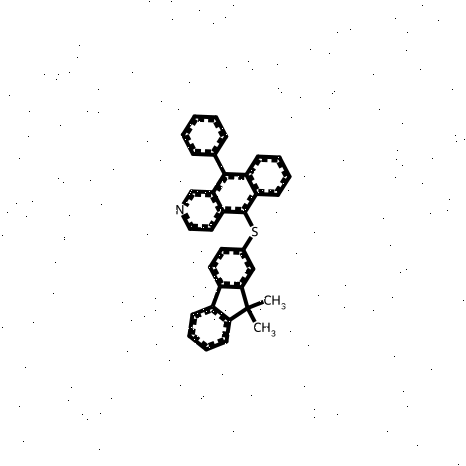 CC1(C)c2ccccc2-c2ccc(Sc3c4ccccc4c(-c4ccccc4)c4cnccc34)cc21